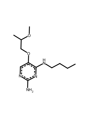 CCCCNc1nc(N)ncc1OCC(C)OC